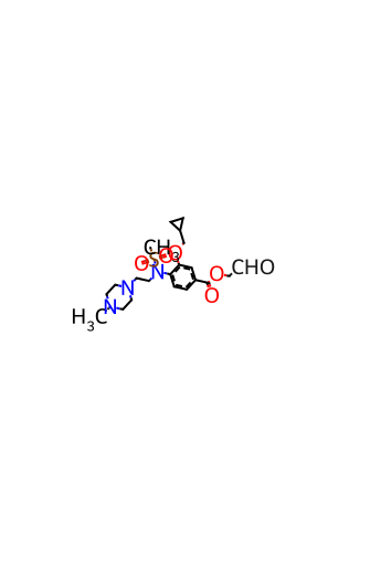 CN1CCN(CCN(c2ccc(C(=O)OCC=O)cc2OCC2CC2)S(C)(=O)=O)CC1